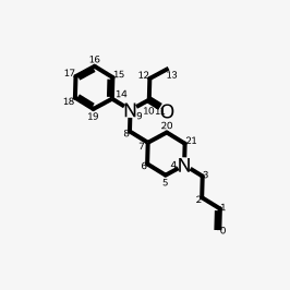 C=CCCN1CCC(CN(C(=O)CC)c2ccccc2)CC1